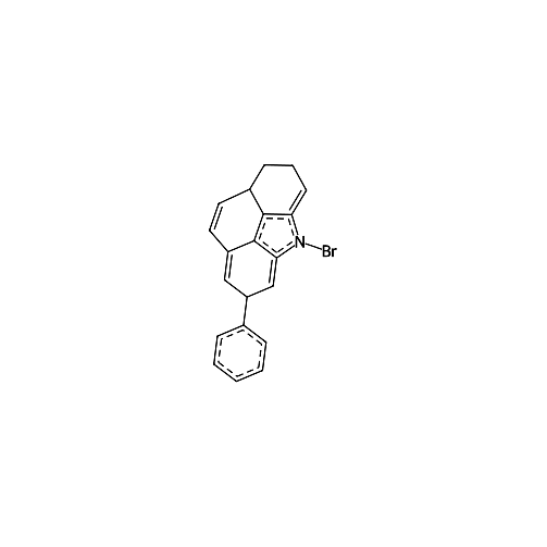 Brn1c2c3c4c1=CCCC4C=CC3=CC(c1ccccc1)C=2